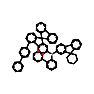 c1ccc(-c2ccc(-c3cccc4c3-c3ccc(N(c5ccc6c(c5)C5(CCCCC5)c5ccccc5-6)c5ccccc5-c5ccccc5)cc3C43c4ccccc4-c4ccccc43)cc2)cc1